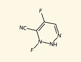 N#CC1=C(F)C=NNN1F